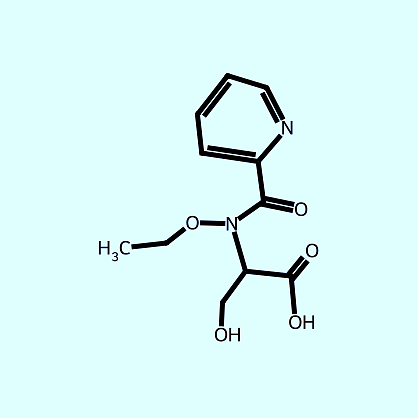 CCON(C(=O)c1ccccn1)C(CO)C(=O)O